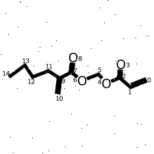 C=CC(=O)OCOC(=O)C(=C)CCCC